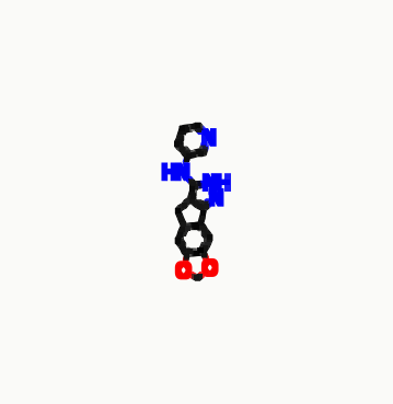 c1cncc(Nc2[nH]nc3c2Cc2cc4c(cc2-3)OCO4)c1